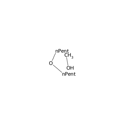 CCCCCOCCCCC.CO